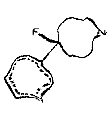 FC1(c2cccnc2)CC[N]CC1